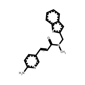 CN(Cc1cc2ccccc2s1)C(=O)/C=C/c1ccc(N)nc1